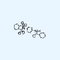 O=C(Nc1ccc(N2S(=O)(=O)c3ccccc3S2(=O)=O)cc1)c1ccccc1